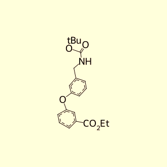 CCOC(=O)c1cccc(Oc2cccc(CNC(=O)OC(C)(C)C)c2)c1